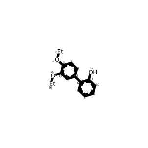 CCOc1ccc(-c2ccccc2O)cc1OCC